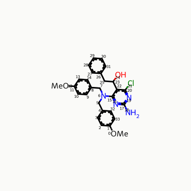 COc1ccc(CN(Cc2ccc(OC)cc2)c2nc(N)nc(Cl)c2C(O)Cc2ccccc2)cc1